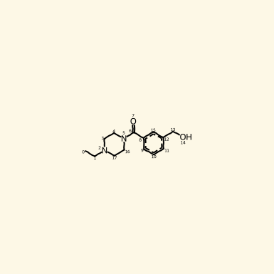 CCN1CCN(C(=O)c2cccc(CO)c2)CC1